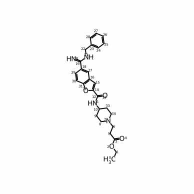 CCOC(=O)CCN1CCC(NC(=O)c2cc3cc(C(=N)NCc4ccccc4)ccc3o2)CC1